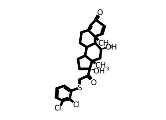 CC12C=CC(=O)C=C1CCC1C2[C@@H](O)CC2(C)C1CC[C@]2(O)C(=O)CSc1cccc(Cl)c1Cl